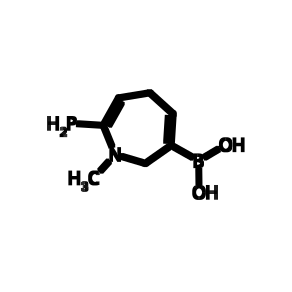 CN1CC(B(O)O)=CCC=C1P